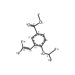 COC(=O)c1ccc(OC(F)F)c(C=C(F)F)c1